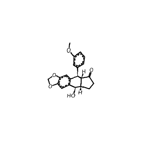 COc1cccc([C@@H]2c3cc4c(cc3[C@H](O)[C@H]3CCC(=O)[C@@H]23)OCO4)c1